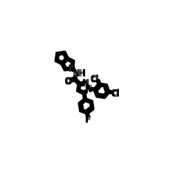 O=C(NN1CC2CCCC2C1)C1=NN(c2ccc(Cl)cc2Cl)C(C2C=CC(F)=CC2)C1